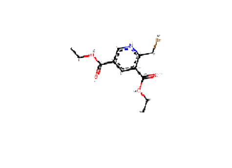 CCOC(=O)c1cnc(CBr)c(C(=O)OCC)c1